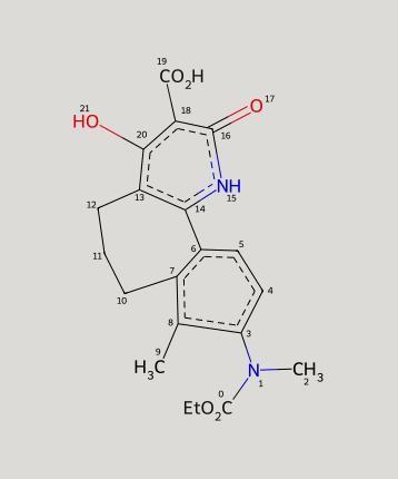 CCOC(=O)N(C)c1ccc2c(c1C)CCCc1c-2[nH]c(=O)c(C(=O)O)c1O